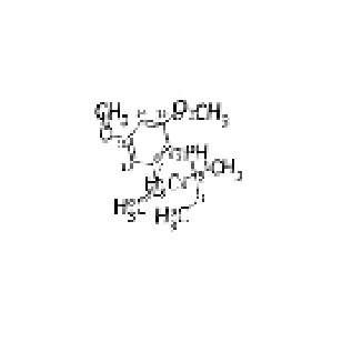 CCC(C)(C)Pc1c(OC)cc(OC)cc1OC